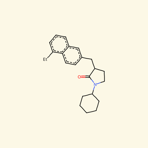 CCc1cccc2cc(CC3CCN(C4CCCCC4)C3=O)ccc12